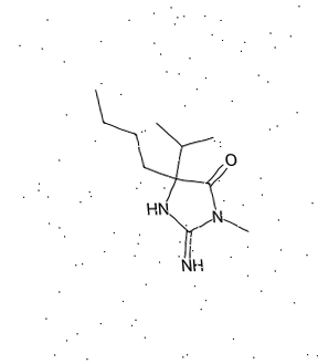 CCCCC1(C(C)C)NC(=N)N(C)C1=O